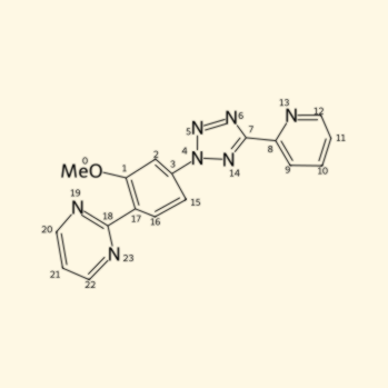 COc1cc(-n2nnc(-c3ccccn3)n2)ccc1-c1ncccn1